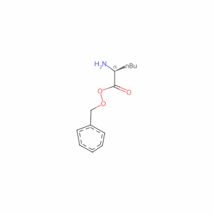 CCCC[C@H](N)C(=O)OOCc1ccccc1